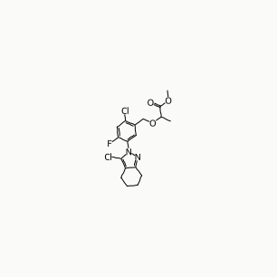 COC(=O)C(C)OCc1cc(-n2nc3c(c2Cl)CCCC3)c(F)cc1Cl